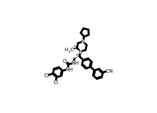 C[C@H]1CN(C2CCCC2)CCN1[C@@H](CNC(=O)Nc1ccc(Cl)c(Cl)c1)c1ccc(-c2cccc(C#N)c2)cc1